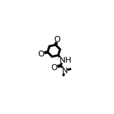 CN(C)C(=O)NC1CC(=O)CC(=O)C1